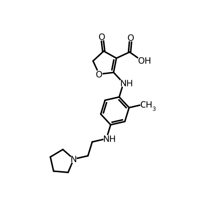 Cc1cc(NCCN2CCCC2)ccc1NC1=C(C(=O)O)C(=O)CO1